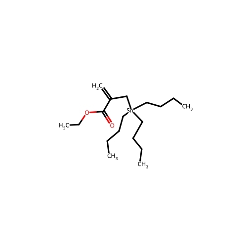 C=C([CH2][Sn]([CH2]CCC)([CH2]CCC)[CH2]CCC)C(=O)OCC